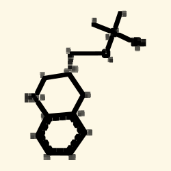 CC(C)(C)[Si](C)(C)OC[C@H]1CNc2ccccc2C1